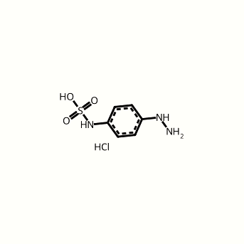 Cl.NNc1ccc(NS(=O)(=O)O)cc1